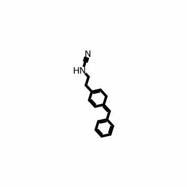 N#CNCCC1=CCC(=Cc2ccccc2)C=C1